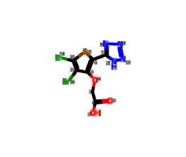 O=C(O)COc1c(-c2nnn[nH]2)sc(Br)c1Br